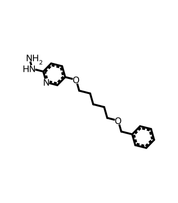 NNc1ccc(OCCCCCOCc2ccccc2)cn1